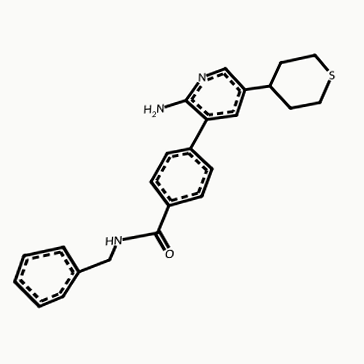 Nc1ncc(C2CCSCC2)cc1-c1ccc(C(=O)NCc2ccccc2)cc1